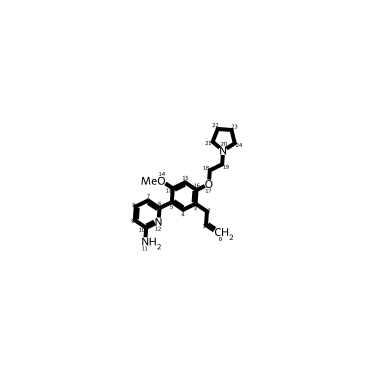 C=CCc1cc(-c2cccc(N)n2)c(OC)cc1OCCN1CCCC1